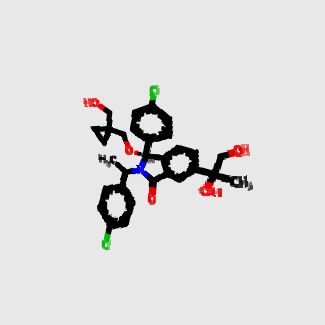 CC(c1ccc(Cl)cc1)N1C(=O)c2cc(C(C)(O)CO)ccc2[C@]1(OCC1(CO)CC1)c1ccc(Cl)cc1